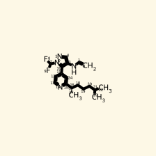 C=CNc1cnn(C(F)F)c1-c1ccnc([C@@H](C)CCCC(C)C)c1